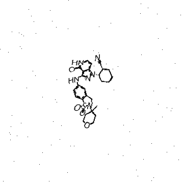 CC1(N2Cc3cc(Nc4nn([C@H]5CCCC[C@@H]5C#N)c5cc[nH]c(=O)c45)ccc3S2(=O)=O)CCOCC1